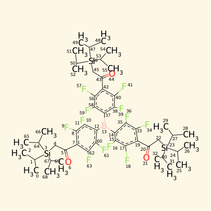 CC(C)[Si](CC(=O)c1c(F)c(F)c(B(c2c(F)c(F)c(C(=O)C[Si](C(C)C)(C(C)C)C(C)C)c(F)c2F)c2c(F)c(F)c(C(=O)C[Si](C(C)C)(C(C)C)C(C)C)c(F)c2F)c(F)c1F)(C(C)C)C(C)C